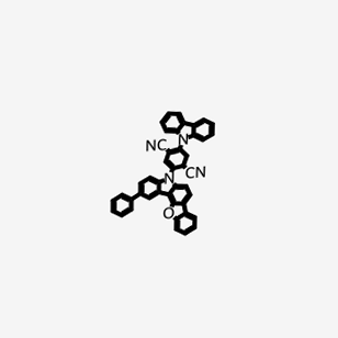 N#CC1=C(n2c3ccccc3c3ccccc32)CC(C#N)C(n2c3ccc(-c4ccccc4)cc3c3c4oc5ccccc5c4ccc32)=C1